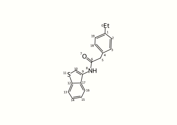 CCc1ccc(CC(=O)Nc2csc3ccccc23)cc1